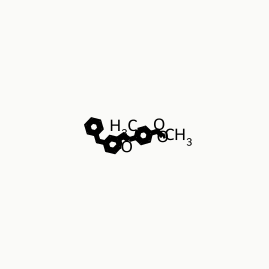 COC(=O)c1ccc(-c2cc3cc(Cc4ccccc4)ccc3o2)c(C)c1